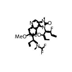 C=C/C(F)=C(\C(=C/C)OC)n1c(=O)n(C)c2cnc3cc(OC)c(/C(C=C)=C/N(C)C(F)F)cc3c21